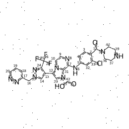 O=C(c1ccc(Nc2nccn3c(-c4cn(Cc5cccnn5)nc4C(F)(F)F)cnc23)cc1Cl)N1CCNCC1.O=CO